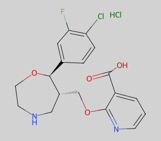 Cl.O=C(O)c1cccnc1OC[C@@H]1CNCCO[C@H]1c1ccc(Cl)c(F)c1